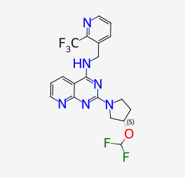 FC(F)O[C@H]1CCN(c2nc(NCc3cccnc3C(F)(F)F)c3cccnc3n2)C1